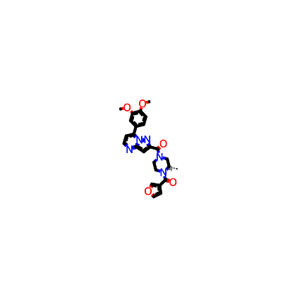 COc1ccc(-c2ccnc3cc(C(=O)N4CCN(C(=O)c5ccoc5)[C@@H](C)C4)nn23)cc1OC